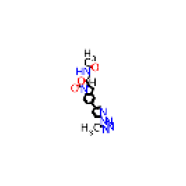 CC(=O)NC[C@@H]1OC(=O)N2c3ccc(-c4ccc(-n5nnnc5C)nc4)cc3C[C@@H]12